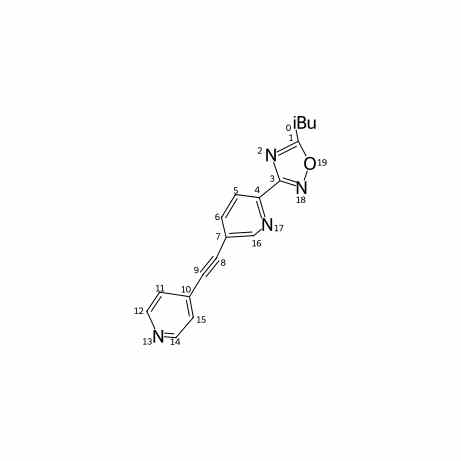 CCC(C)c1nc(-c2ccc(C#Cc3ccncc3)cn2)no1